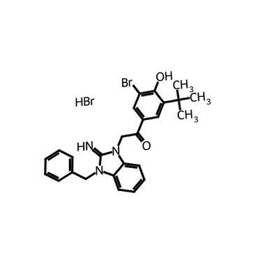 Br.CC(C)(C)c1cc(C(=O)Cn2c(=N)n(Cc3ccccc3)c3ccccc32)cc(Br)c1O